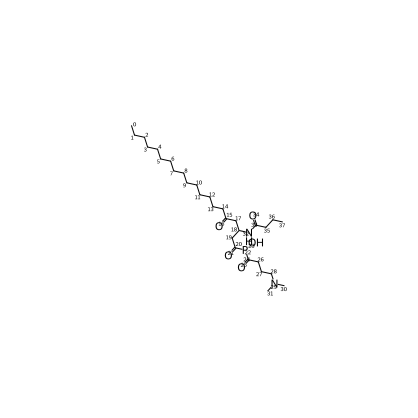 CCCCCCCCCCCCCCCC(=O)CC(CC(=O)P(O)C(=O)CCCN(C)C)NC(=O)CCC